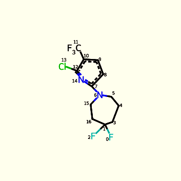 FC1(F)CCCN(c2ccc(C(F)(F)F)c(Cl)n2)CC1